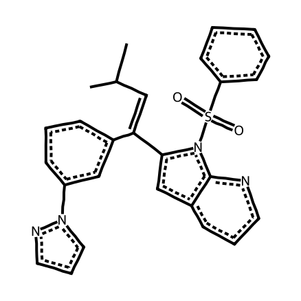 CC(C)/C=C(\c1cccc(-n2cccn2)c1)c1cc2cccnc2n1S(=O)(=O)c1ccccc1